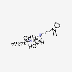 CCCCC[C@H](O)/C=C/[C@@H]1[C@H]2C/C(=C/CCCCNc3ccccc3)C[C@H]2C[C@H]1O